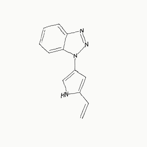 C=Cc1cc(-n2nnc3ccccc32)c[nH]1